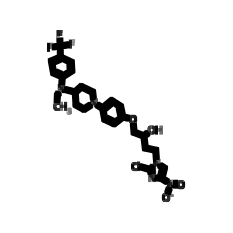 CCN(c1ccc(C(F)(F)F)cc1)C1CCN(c2ccc(OCC(O)CCn3cc([N+](=O)[O-])nc3Cl)cc2)CC1